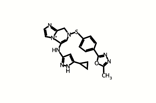 Cc1nnc(-c2ccc(SN3C=C(Nc4cc(C5CC5)[nH]n4)[N+]4C=CN=C4C3)cc2)o1